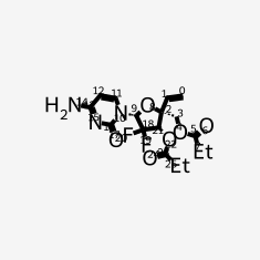 C=C[C@]1(COC(=O)CC)O[C@@H](n2ccc(N)nc2=O)C(F)(F)[C@@H]1OC(=O)CC